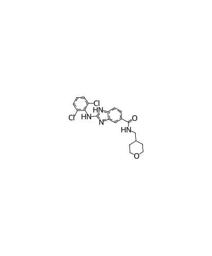 O=C(NCC1CCOCC1)c1ccc2[nH]c(Nc3c(Cl)cccc3Cl)nc2c1